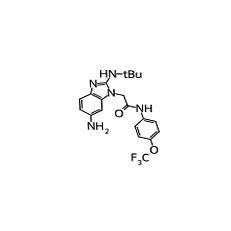 CC(C)(C)Nc1nc2ccc(N)cc2n1CC(=O)Nc1ccc(OC(F)(F)F)cc1